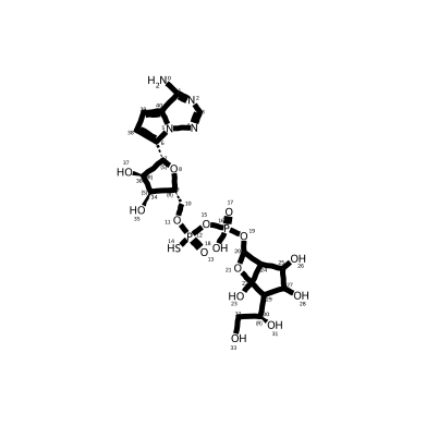 Nc1ncnn2c([C@@H]3O[C@H](COP(=O)(S)OP(=O)(O)OC4OC5(O)C4C(O)C(O)C5[C@@H](O)CO)[C@@H](O)[C@H]3O)ccc12